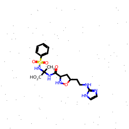 CC(NC(=O)C1CC(CCNc2ncc[nH]2)ON1)(NS(=O)(=O)c1ccccc1)C(=O)O